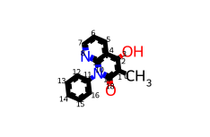 Cc1c(O)c2cccnc2n(-c2ccccc2)c1=O